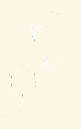 CC(=O)OCc1ccc(Sc2nc(C)cs2)c(NS(C)(=O)=O)c1